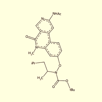 CC(=O)Nc1cc2c(cn1)c(=O)n(C)c1cc(ON(C(=O)OC(C)(C)C)C(C)CC(C)C)ccc21